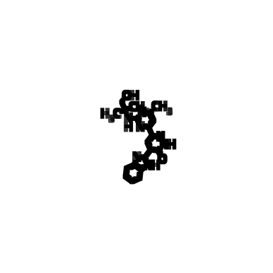 Cc1cc(-c2cc(-c3nc4ccccc4[nH]3)c(=O)[nH]n2)nc(NC(C)(C)CO)n1